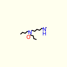 CCCCN(CCCCCNC)C(=O)CCC